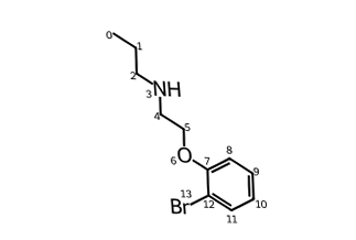 CCCNCCOc1ccccc1Br